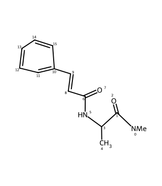 CNC(=O)C(C)NC(=O)C=Cc1ccccc1